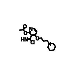 CC(=O)Oc1nccc(OCCCN2CCCCC2)c1C(=N)Cl